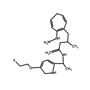 C=C(CC(C)CC1=C(NN)C=CCC=C1)NC(C)C1=CC=C(OCCF)CN1